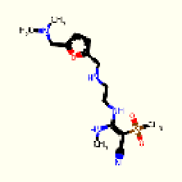 CNC(NCCNCc1ccc(CN(C)C)o1)=C(C#N)S(C)(=O)=O